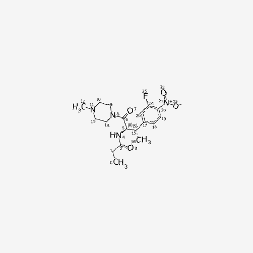 CCC(=O)N[C@@H](C(=O)N1CCN(C)CC1)[C@@H](C)c1ccc([N+](=O)[O-])c(F)c1